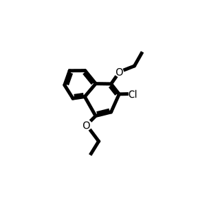 CCOc1cc(Cl)c(OCC)c2ccccc12